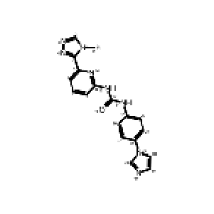 CC(C)n1cnnc1-c1cccc(NC(=O)Nc2ccc(-n3ccnc3)cc2)n1